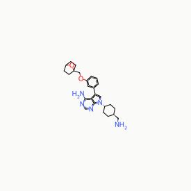 NC[C@H]1CC[C@H](n2cc(-c3cccc(OCC45CCC(CC4)O5)c3)c3c(N)ncnc32)CC1